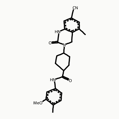 COc1cc(NC(=O)C2CCC(N3Cc4c(C)cc(C#N)cc4NC3=O)CC2)ccc1C